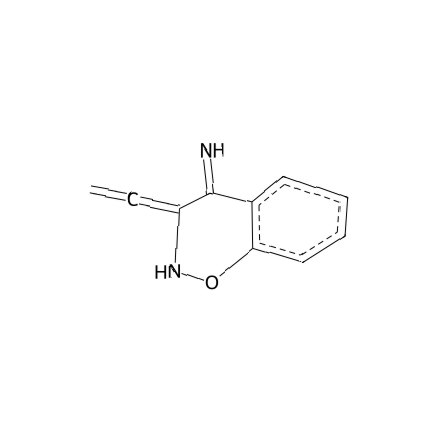 C=C=C1NOc2ccccc2C1=N